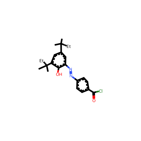 CCC(C)(C)c1cc(N=Nc2ccc(C(=O)Cl)cc2)c(O)c(C(C)(C)CC)c1